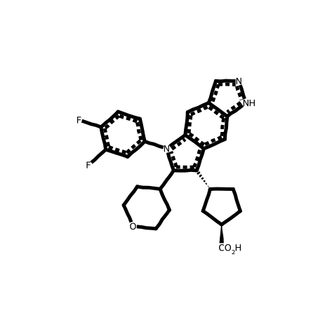 O=C(O)[C@@H]1CC[C@@H](c2c(C3CCOCC3)n(-c3ccc(F)c(F)c3)c3cc4cn[nH]c4cc23)C1